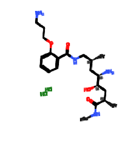 CCCCNC(=O)[C@@H](C[C@H](O)[C@@H](N)C[C@H](CNC(=O)c1ccccc1OCCCN)C(C)C)C(C)C.Cl.Cl